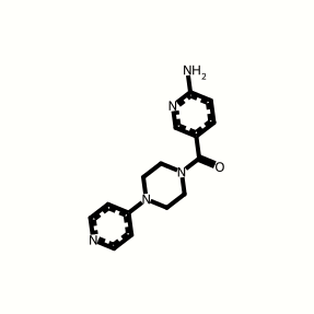 Nc1ccc(C(=O)N2CCN(c3ccncc3)CC2)cn1